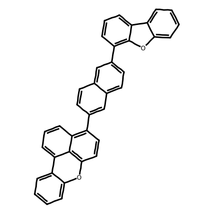 c1ccc2c(c1)Oc1ccc(-c3ccc4cc(-c5cccc6c5oc5ccccc56)ccc4c3)c3cccc-2c13